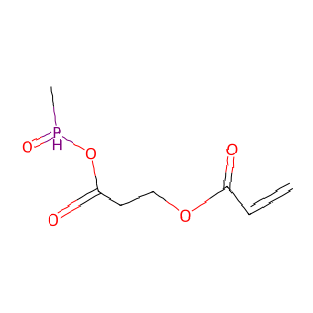 C=CC(=O)OCCC(=O)O[PH](C)=O